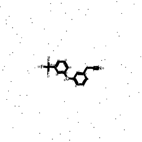 N#CCc1cccc(Oc2cccc(C(F)(F)F)c2)c1